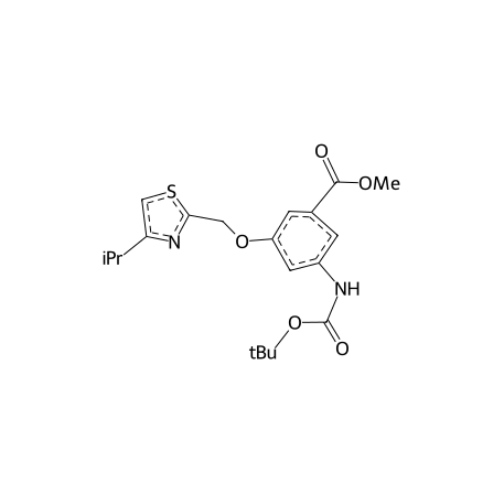 COC(=O)c1cc(NC(=O)OC(C)(C)C)cc(OCc2nc(C(C)C)cs2)c1